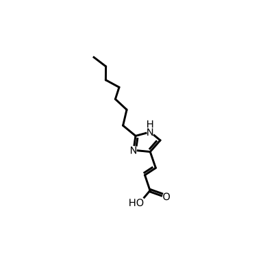 CCCCCCCc1nc(C=CC(=O)O)c[nH]1